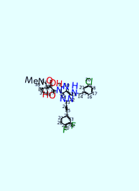 CNC(=O)[C@@]1([C@@H](O)[C@@H](O)n2cnc3c(NCc4cccc(Cl)c4)nc(C#Cc4ccc(F)c(F)c4)nc32)CC[C@@H]1C